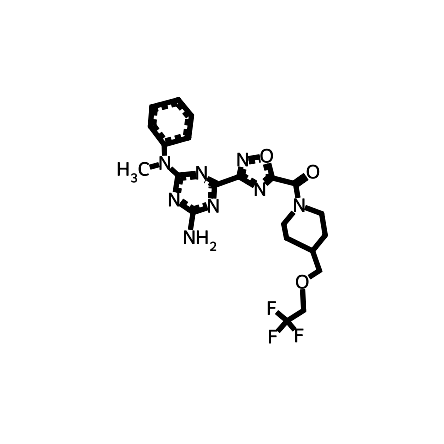 CN(c1ccccc1)c1nc(N)nc(-c2noc(C(=O)N3CCC(COCC(F)(F)F)CC3)n2)n1